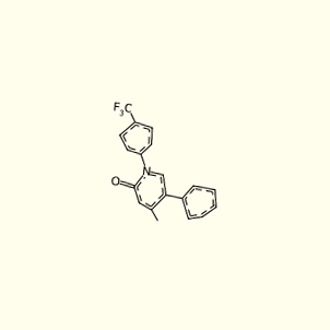 Cc1cc(=O)n(-c2ccc(C(F)(F)F)cc2)cc1-c1ccccc1